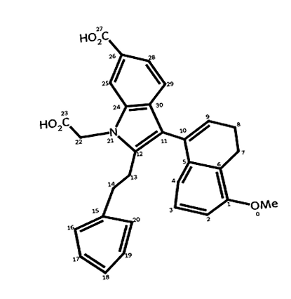 COc1cccc2c1CCC=C2c1c(CCc2ccccc2)n(CC(=O)O)c2cc(C(=O)O)ccc12